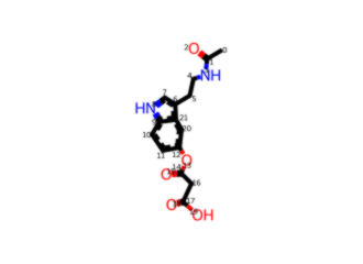 CC(=O)NCCc1c[nH]c2ccc(OC(=O)CC(=O)O)cc12